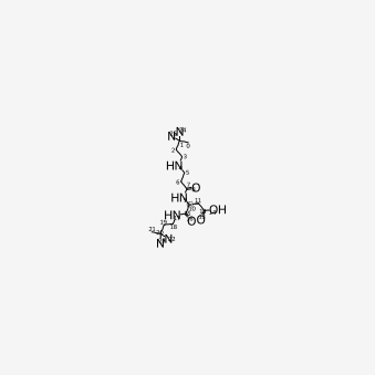 CC1(CCNCCC(=O)N[C@@H](CC(=O)O)C(=O)NCCC2(C)N=N2)N=N1